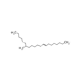 [CH2]CCCCCCC=CCCCCCC(C)CCCCC[CH2]